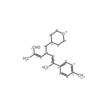 C/C(C=O)=C/N(/C=C(\C)c1ccc(C)cc1)CC1CCOCC1